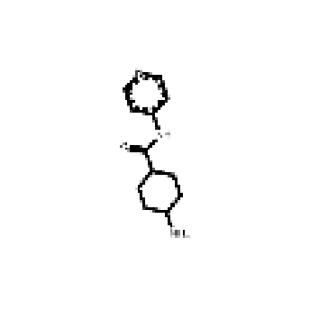 NC1CCC(C(=O)Nc2ccncc2)CC1